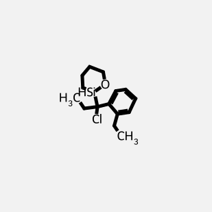 CCc1ccccc1C(Cl)(CC)[SiH]1CCCCO1